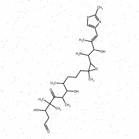 C/C(=C\c1csc(C)n1)C(O)C(N)C1OC1(C)CCCC(C)C(O)C(C)C(=O)C(C)(C)C(O)CC=O